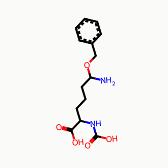 NC(CCCC(NC(=O)O)C(=O)O)OCc1ccccc1